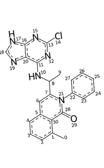 Cc1cccc2cc(C(C)Nc3nc(Cl)nc4[nH]cnc34)n(-c3ccccc3)c(=O)c12